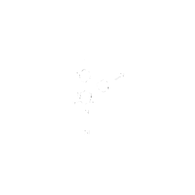 CNC1CCN(c2nc(-c3ccc(C#N)c(F)c3)c(-c3ccc(OC)nc3)n(C)c2=O)CC1